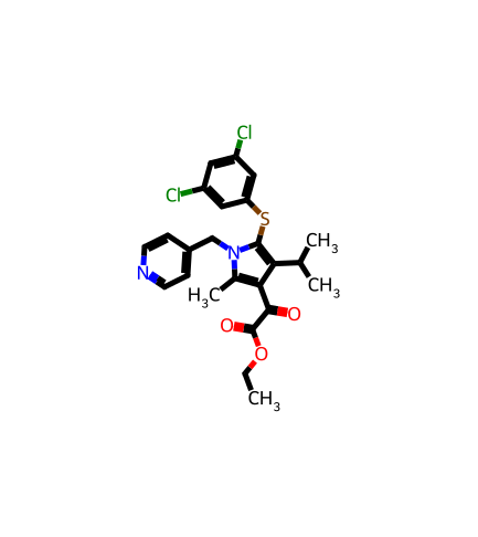 CCOC(=O)C(=O)c1c(C(C)C)c(Sc2cc(Cl)cc(Cl)c2)n(Cc2ccncc2)c1C